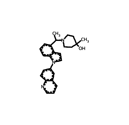 CC(c1cccc2c1ccn2-c1ccc2ncccc2c1)N1CCC(C)(O)CC1